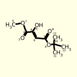 COC(=O)C(O)=CC(=O)OC(C)(C)C